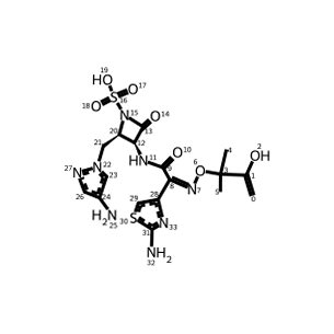 C=C(O)C(C)(C)O/N=C(\C(=O)N[C@@H]1C(=O)N(S(=O)(=O)O)[C@@H]1Cn1cc(N)cn1)c1csc(N)n1